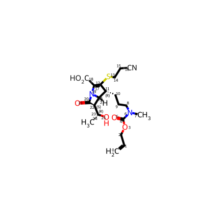 C=CCOC(=O)N(C)CCC[C@H]1C(SCCC#N)=C(C(=O)O)N2C(=O)[C@H]([C@@H](C)O)[C@@H]12